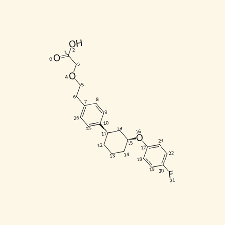 O=C(O)COCCc1ccc([C@@H]2CCC[C@H](Oc3ccc(F)cc3)C2)cc1